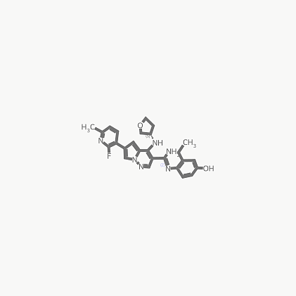 CCc1cc(O)ccc1/N=C(\N)c1cnn2cc(-c3ccc(C)nc3F)cc2c1N[C@H]1CCOC1